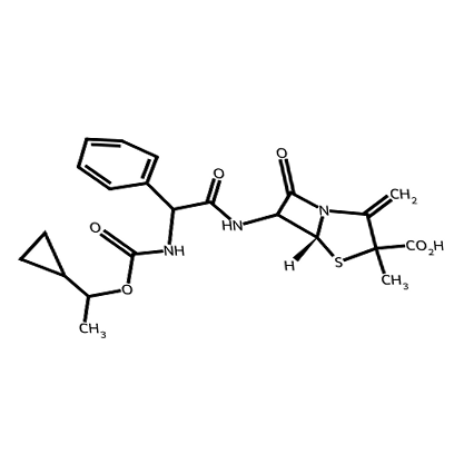 C=C1N2C(=O)C(NC(=O)C(NC(=O)OC(C)C3CC3)c3ccccc3)[C@H]2SC1(C)C(=O)O